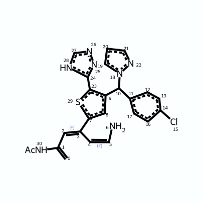 C=C(/C=C(\C=C/N)c1cc(C(c2ccc(Cl)cc2)n2cccn2)c(-c2nnc[nH]2)s1)NC(C)=O